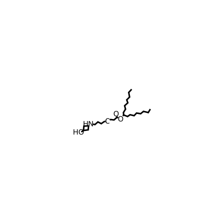 CCCCCCCCC(CCCCCCCC)OC(=O)CCCCCCCNC1CC(O)C1